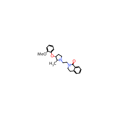 COc1ccccc1O[C@H]1CCN(CCN2CCc3ccccc3C2=O)[C@H]1C